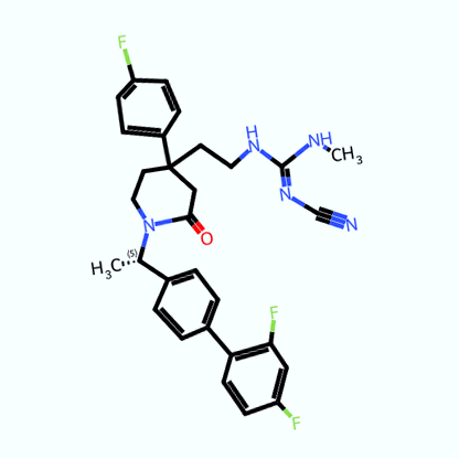 CNC(=NC#N)NCCC1(c2ccc(F)cc2)CCN([C@@H](C)c2ccc(-c3ccc(F)cc3F)cc2)C(=O)C1